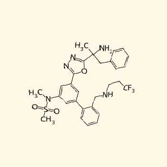 CN(c1cc(-c2nnc(C(C)(N)Cc3ccccc3)o2)cc(-c2ccccc2CNCCC(F)(F)F)c1)S(C)(=O)=O